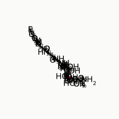 C\C=C/C=C(\C=N\[C@@H]1O[C@H](COP(=O)(O)OP(=O)(O)OC[C@H]2O[C@@H](n3cnc4c(NCCCNC(=O)CCCCCNC(=O)CCCCCn5cc(COCCOCCF)nn5)ncnc43)[C@H](O)[C@@H]2O)[C@@H](O)[C@H]1O)C(N)=O